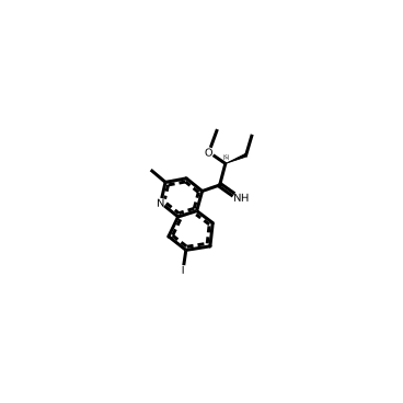 CC[C@H](OC)C(=N)c1cc(C)nc2cc(I)ccc12